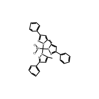 Cc1cc(-c2ccccc2)nn1[C](n1nc(-c2ccccc2)cc1C)(n1nc(-c2ccccc2)cc1C)[Mn]([Cl])[Cl]